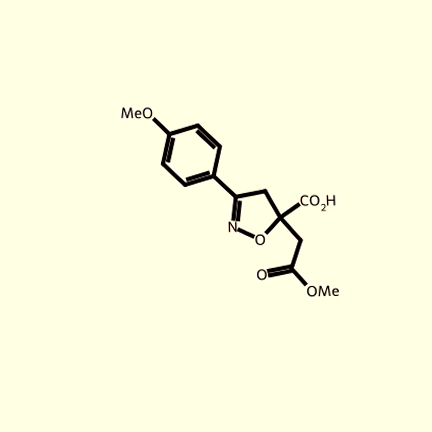 COC(=O)CC1(C(=O)O)CC(c2ccc(OC)cc2)=NO1